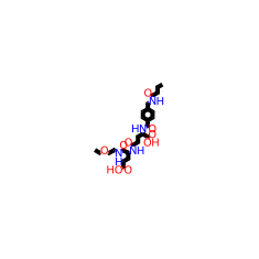 CCCC(=O)NCC1CCC(C(=O)NC(CCC(=O)NC(CCC(=O)O)C(=O)NCCOCC)C(=O)O)CC1